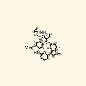 C=CC(=O)Nc1cc(Nc2nccc(-c3cn(C)c4ccccc34)n2)c(OC)cc1OCC1(N)CC1